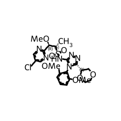 COc1cccc(OC)c1-n1c(NS(=O)(=O)[C@@H](C)[C@H](OC)c2ncc(Cl)cn2)nnc1[C@@H]1COCCO1